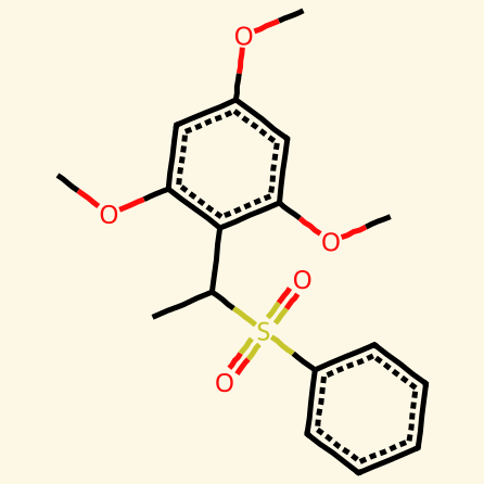 COc1cc(OC)c(C(C)S(=O)(=O)c2ccccc2)c(OC)c1